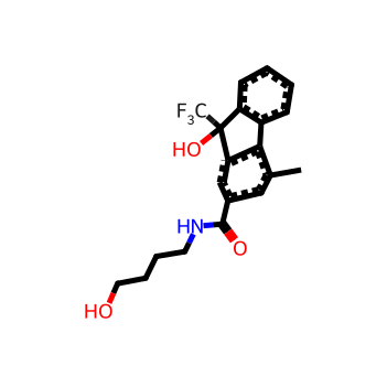 Cc1cc(C(=O)NCCCCO)cc2c1-c1ccccc1C2(O)C(F)(F)F